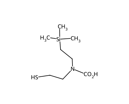 C[Si](C)(C)CCN(CCS)C(=O)O